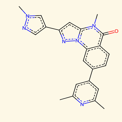 Cc1cc(-c2ccc3c(=O)n(C)c4cc(-c5cnn(C)c5)nn4c3c2)cc(C)n1